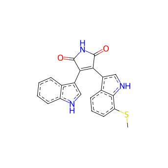 CSc1cccc2c(C3=C(c4c[nH]c5ccccc45)C(=O)NC3=O)c[nH]c12